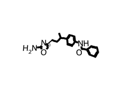 CC(CC[C@H]1COC(N)=N1)c1ccc(NC(=O)c2ccccc2)cc1